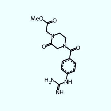 COC(=O)CN1CCN(C(=O)c2ccc(NC(=N)N)cc2)CC1=O